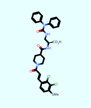 CSc1ccc(/C=C/C(=O)N2CCC(C(=O)N[C@@H](CNC(=O)N(c3ccccc3)c3ccccc3)C(=O)O)CC2)c(Cl)c1Cl